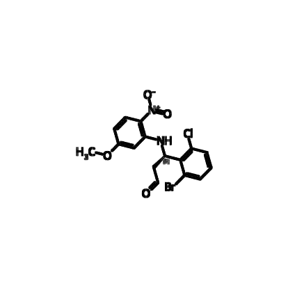 COc1ccc([N+](=O)[O-])c(N[C@H](CC=O)c2c(Cl)cccc2Br)c1